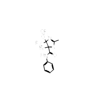 CC1=NC(OC(F)(F)F)(C(F)(F)F)C(Br)(C(=O)Nc2ccccc2)S1